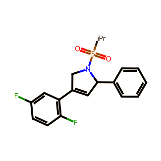 CC(C)S(=O)(=O)N1CC(c2cc(F)ccc2F)=CC1c1ccccc1